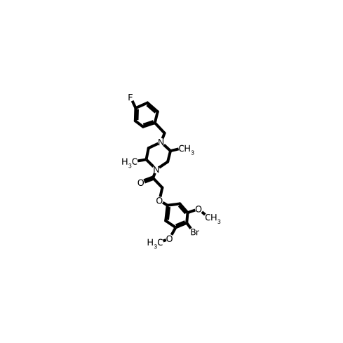 COc1cc(OCC(=O)N2CC(C)N(Cc3ccc(F)cc3)CC2C)cc(OC)c1Br